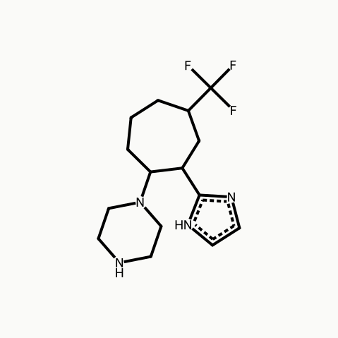 FC(F)(F)C1CCCC(N2CCNCC2)C(c2ncc[nH]2)C1